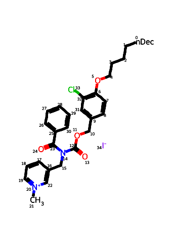 CCCCCCCCCCCCCCOc1ccc(COC(=O)N(Cc2ccc[n+](C)c2)C(=O)c2ccccc2)cc1Cl.[I-]